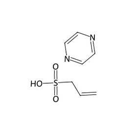 C=CCS(=O)(=O)O.c1cnccn1